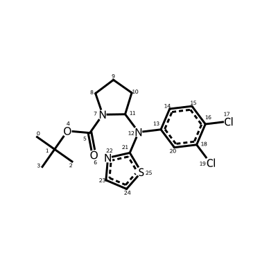 CC(C)(C)OC(=O)N1CCCC1N(c1ccc(Cl)c(Cl)c1)c1nccs1